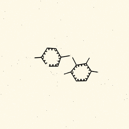 COc1ccc(Nc2c(C(=O)O)ccc(F)c2F)cn1